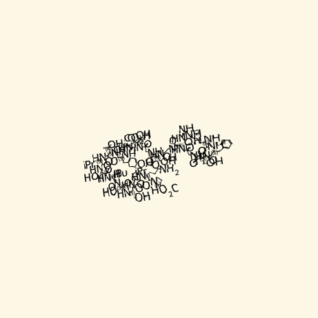 CC[C@H](C)[C@H](NC(=O)[C@@H](NC(=O)[C@H](CC(C)C)NC(=O)[C@@H](NC(=O)[C@H](Cc1ccc(O)cc1)NC(=O)[C@H](CC(=O)O)NC(=O)[C@@H](NC(=O)CNC(=O)[C@H](CO)NC(=O)CNC(=O)[C@H](CO)NC(=O)CNC(=O)[C@H](CO)NC(=O)[C@H](Cc1ccccc1)NC(=O)[C@@H](N)CCCNC(=N)N)[C@@H](C)O)[C@@H](C)O)[C@@H](C)O)C(=O)N[C@@H](CO)C(=O)N[C@@H](CO)C(=O)N[C@@H](CC(C)C)C(=O)N[C@@H](CCC(N)=O)C(=O)N1CCC[C@H]1C(=O)O